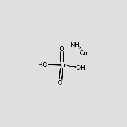 N.[Cu].[O]=[Cr](=[O])([OH])[OH]